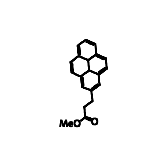 COC(=O)CCC1=CC2=CC=C3C=CC=C4C=CC(=C1)C2C43